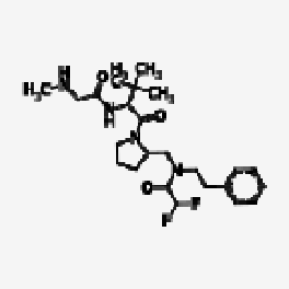 CNCC(=O)NC(C(=O)N1CCCC1CN(CCc1ccccc1)C(=O)C(F)F)C(C)(C)C